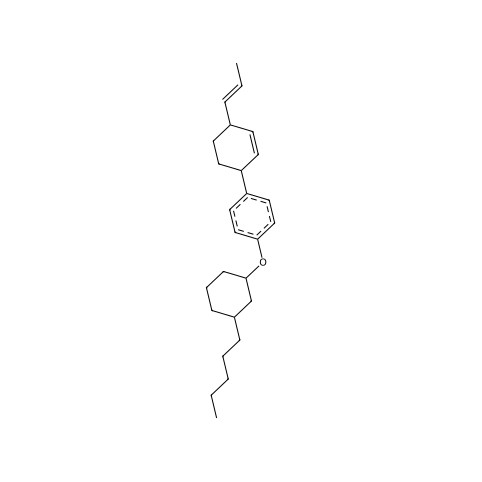 C/C=C/C1C=CC(c2ccc(OC3CCCC(CCCCC)C3)cc2)CC1